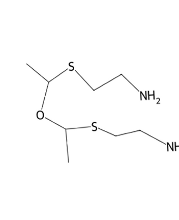 CC(OC(C)SCCN)SCCN